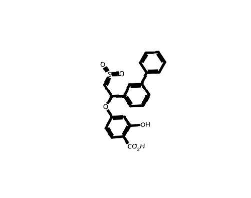 O=C(O)c1ccc(OC(C=S(=O)=O)c2cccc(-c3ccccc3)c2)cc1O